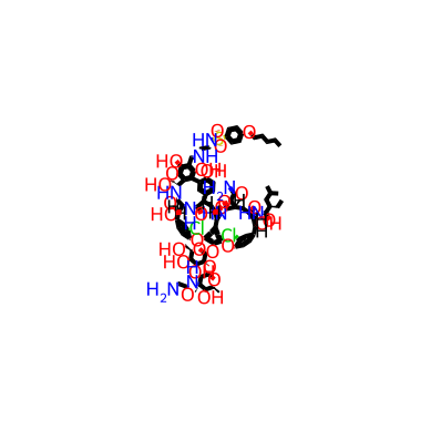 CCCCCOc1ccc(S(=O)(=O)NCCNCc2c(O)cc3c(c2O)-c2cc(ccc2O)[C@H]2CC(=O)[C@@H]4NC(=O)[C@H](CC(N)=O)CC(=O)[C@H](NC(=O)[C@H](CC)CC(C)C)[C@H](O)c5ccc(c(Cl)c5)Oc5cc4cc(c5O[C@@H]4O[C@H](CO)[C@@H](O)[C@H](O)[C@H]4O[C@H]4C[C@](C)(NC(=O)CN)[C@H](O)[C@H](C)O4)Oc4ccc(cc4Cl)[C@@H](O)[C@H](NC2=O)C(=O)N[C@@H]3C(=O)O)cc1